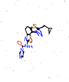 O=C(Nc1nc2c(s1)-c1nc(CC3CC3)sc1CC2)n1ccnc1